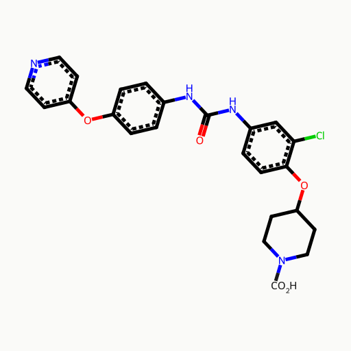 O=C(Nc1ccc(Oc2ccncc2)cc1)Nc1ccc(OC2CCN(C(=O)O)CC2)c(Cl)c1